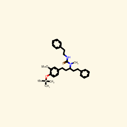 COc1cc(CCC(CCc2ccccc2)N(C)C(=S)NCCc2ccccc2)ccc1O[Si](C)(C)C(C)(C)C